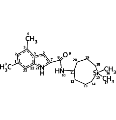 Cc1cc(C)c2cc(C(=O)NC3CCC[Si](C)(C)CCC3)[nH]c2c1